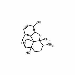 CC12Oc3c(O)ccc4c3C13CCNC(C4)C3(O)CCC2N